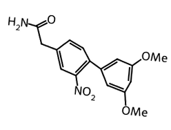 COc1cc(OC)cc(-c2ccc(CC(N)=O)cc2[N+](=O)[O-])c1